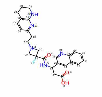 O=C(O)CC(NC(=O)C1(F)CN(CCc2ccc3c(n2)NCCC3)C1)c1cnc2ccccc2c1